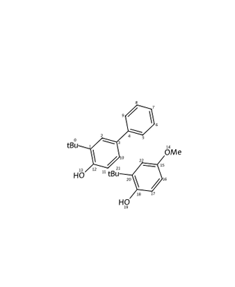 CC(C)(C)c1cc(-c2ccccc2)ccc1O.COc1ccc(O)c(C(C)(C)C)c1